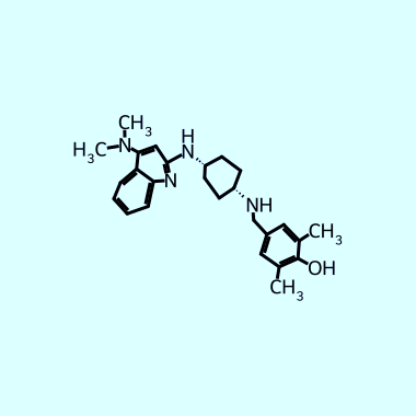 Cc1cc(CN[C@H]2CC[C@@H](Nc3cc(N(C)C)c4ccccc4n3)CC2)cc(C)c1O